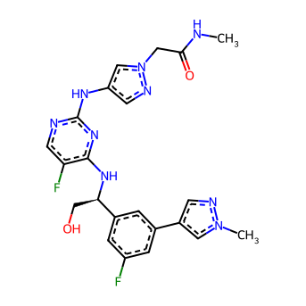 CNC(=O)Cn1cc(Nc2ncc(F)c(N[C@H](CO)c3cc(F)cc(-c4cnn(C)c4)c3)n2)cn1